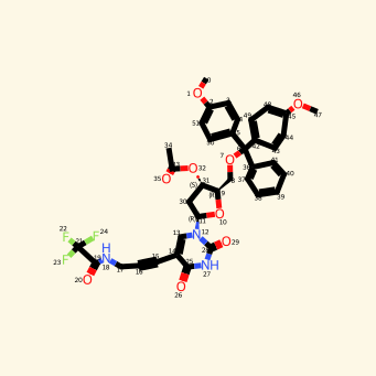 COc1ccc(C(OC[C@H]2O[C@@H](n3cc(C#CCNC(=O)C(F)(F)F)c(=O)[nH]c3=O)C[C@@H]2OC(C)=O)(c2ccccc2)c2ccc(OC)cc2)cc1